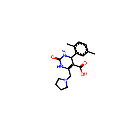 Cc1ccc(C)c(C2NC(=O)NC(CN3CCCC3)=C2C(=O)O)c1